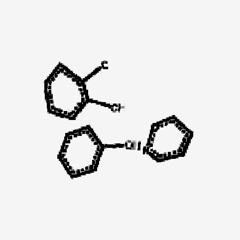 Oc1ccccc1.Oc1ccccc1Cl.c1ccncc1